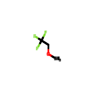 FC(F)(F)CO[SiH3]